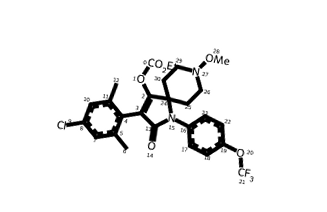 CCOC(=O)OC1=C(c2c(C)cc(Cl)cc2C)C(=O)N(c2ccc(OC(F)(F)F)cc2)C12CCN(OC)CC2